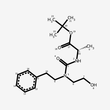 C[C@H](NC(=O)N(CCO)CCc1ccccc1)C(=O)OC(C)(C)C